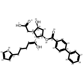 O=C(O)C[C@@H]1[C@@H](C(O)=CCCCc2cccs2)[C@H](OC(=O)c2ccc(-c3ccccc3)cc2)C[C@@H]1O